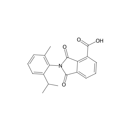 Cc1cccc(C(C)C)c1N1C(=O)c2cccc(C(=O)O)c2C1=O